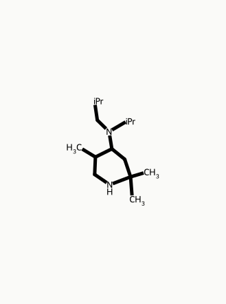 CC(C)CN(C(C)C)C1CC(C)(C)NCC1C